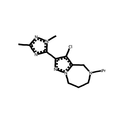 Cc1nc(-c2nn3c(c2Cl)CN(C(C)C)CCC3)n(C)n1